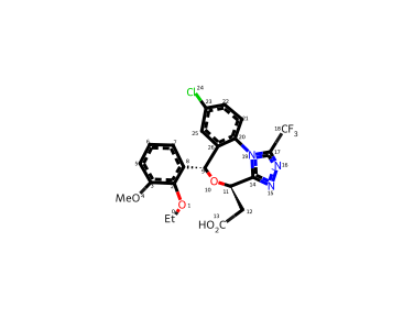 CCOc1c(OC)cccc1[C@H]1O[C@H](CC(=O)O)c2nnc(C(F)(F)F)n2-c2ccc(Cl)cc21